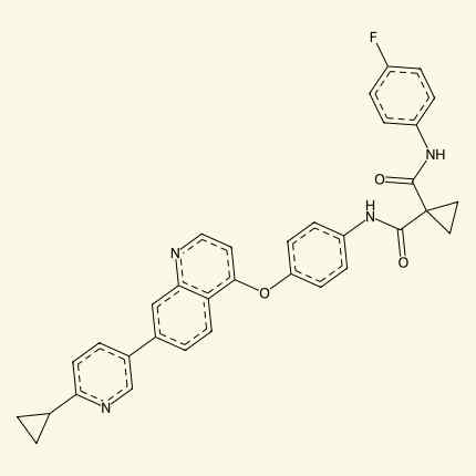 O=C(Nc1ccc(F)cc1)C1(C(=O)Nc2ccc(Oc3ccnc4cc(-c5ccc(C6CC6)nc5)ccc34)cc2)CC1